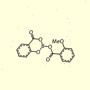 COc1ccccc1C(=O)OB1OC(=O)c2ccccc2O1